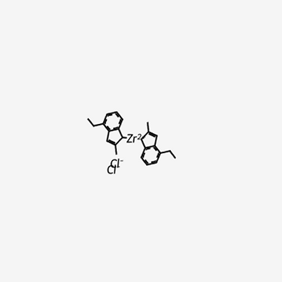 CCc1cccc2c1C=C(C)[CH]2[Zr+2][CH]1C(C)=Cc2c(CC)cccc21.[Cl-].[Cl-]